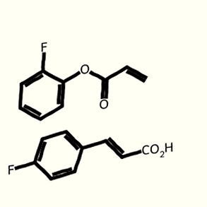 C=CC(=O)Oc1ccccc1F.O=C(O)C=Cc1ccc(F)cc1